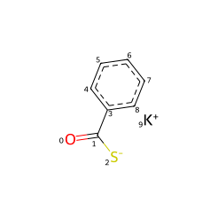 O=C([S-])c1ccccc1.[K+]